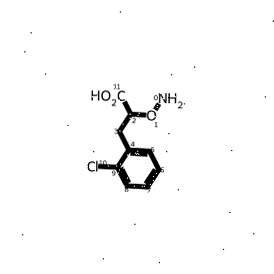 NOC(Cc1ccccc1Cl)C(=O)O